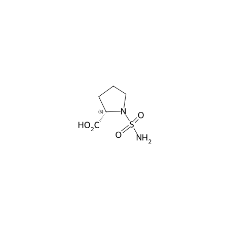 NS(=O)(=O)N1CCC[C@H]1C(=O)O